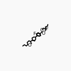 CCCC1CCC(C2=CCC(c3ccc(C4OCC(F)(CCC)CO4)cc3F)CC2)CO1